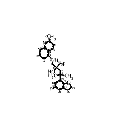 Cc1ccc2c(NCC(O)(CF)CC(C)(C)c3cc(F)cc4c3OCC4)cccc2n1